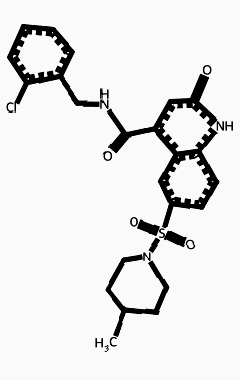 CC1CCN(S(=O)(=O)c2ccc3[nH]c(=O)cc(C(=O)NCc4ccccc4Cl)c3c2)CC1